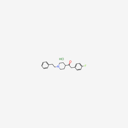 Cl.O=C(Cc1ccc(F)cc1)C1CCN(CCc2ccccc2)CC1